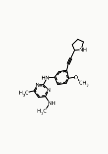 CNc1cc(C)nc(Nc2ccc(OC)c(C#CC3CCCN3)c2)n1